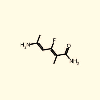 C/C(C(N)=O)=C(F)\C=C(/C)N